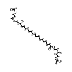 CC(=O)OCCN(C)CCOC(=O)CCCCCCC/C=C/CCCCCCCC(=O)OCCN(C)CCOC(C)=O